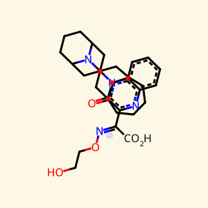 O=C(O)/C(=N\OCCO)c1nc2ccccc2n(C2CC3CCCC(C2)N3C2CC3CCCCC(C3)C2)c1=O